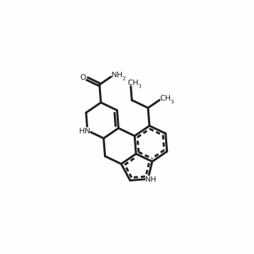 CCC(C)c1ccc2[nH]cc3c2c1C1=CC(C(N)=O)CNC1C3